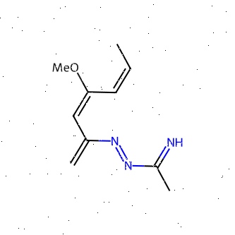 C=C(/C=C(\C=C/C)OC)/N=N/C(C)=N